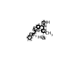 Cc1cccc(-c2nc3n(c2-c2ccc(F)c(NC(=O)CCC[N+]4(C)CCCCC4)c2)CCN3)n1.Cl.[Cl-]